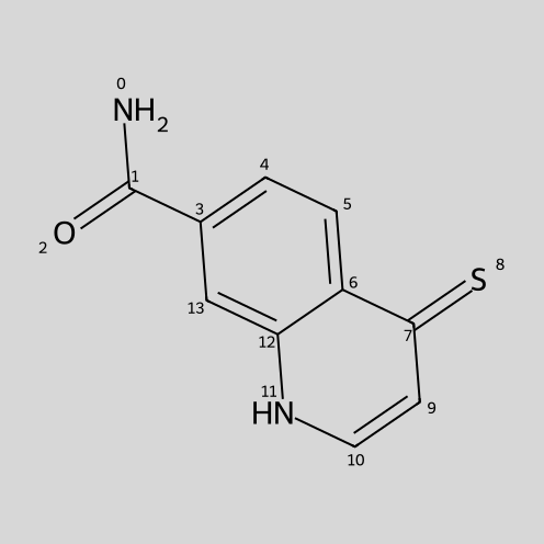 NC(=O)c1ccc2c(=S)cc[nH]c2c1